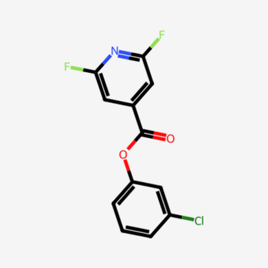 O=C(Oc1cccc(Cl)c1)c1cc(F)nc(F)c1